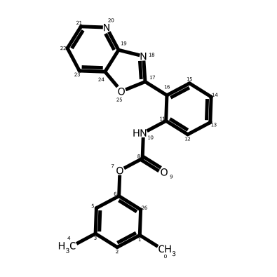 Cc1cc(C)cc(OC(=O)Nc2ccccc2-c2nc3ncccc3o2)c1